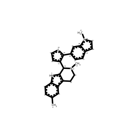 Cc1ccc2[nH]c3c(c2c1)CCN(C)C3c1ccsc1-c1ccc2ccn(C)c2c1